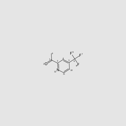 CC(=O)c1cc(C(F)(F)F)ccn1